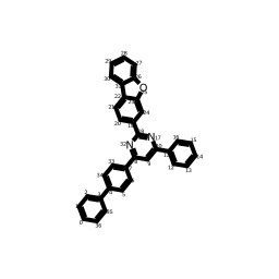 c1ccc(-c2ccc(-c3cc(-c4ccccc4)nc(-c4ccc5c(c4)oc4ccccc45)n3)cc2)cc1